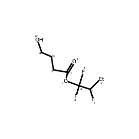 CCC(F)C(F)(F)OC(=O)CCCO